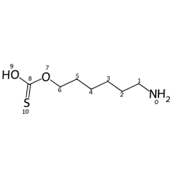 NCCCCCCOC(O)=S